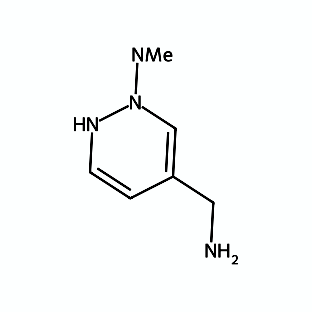 CNN1C=C(CN)C=CN1